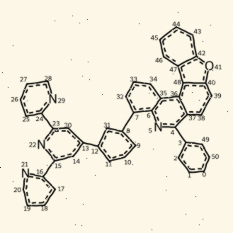 c1ccc(-c2nc3c(-c4cccc(-c5cc(-c6ccccn6)nc(-c6ccccn6)c5)c4)cccc3c3c2ccc2oc4ccccc4c23)cc1